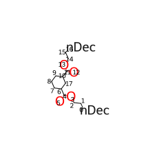 CCCCCCCCCCCCOC(=O)C1CCCC(C(=O)OCCCCCCCCCCCC)C1